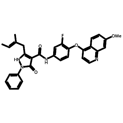 CC=C(C)Cc1[nH]n(-c2ccccc2)c(=O)c1C(=O)Nc1ccc(Oc2ccnc3cc(OC)ccc23)c(F)c1